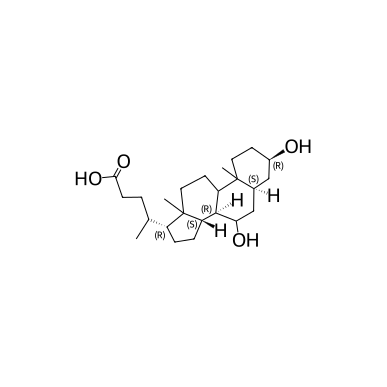 CC(CCC(=O)O)[C@H]1CC[C@H]2[C@@H]3C(O)C[C@@H]4C[C@H](O)CCC4(C)C3CCC12C